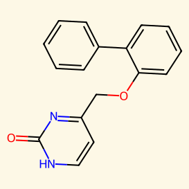 O=c1nc(COc2ccccc2-c2ccccc2)cc[nH]1